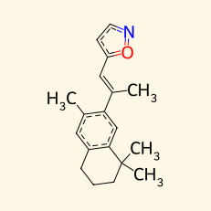 CC(=Cc1ccno1)c1cc2c(cc1C)CCCC2(C)C